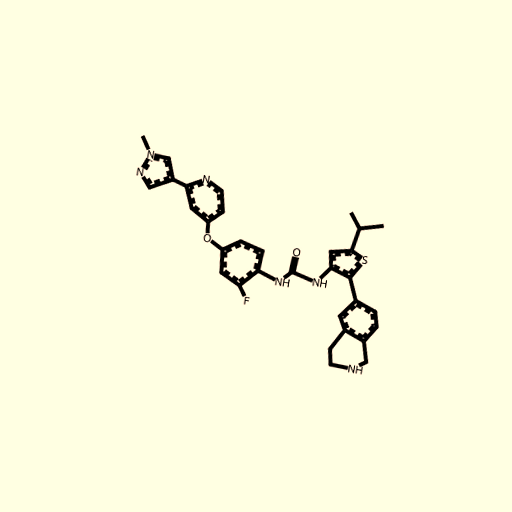 CC(C)c1cc(NC(=O)Nc2ccc(Oc3ccnc(-c4cnn(C)c4)c3)cc2F)c(-c2ccc3c(c2)CCNC3)s1